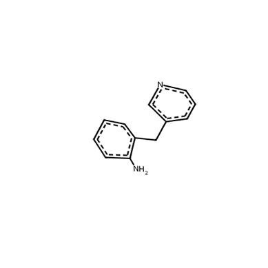 Nc1ccccc1Cc1cccnc1